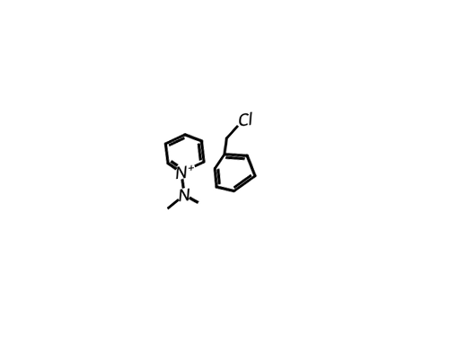 CN(C)[n+]1ccccc1.ClCc1ccccc1